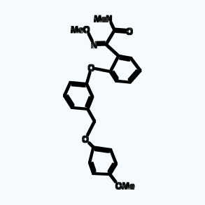 CNC(=O)C(=NOC)c1ccccc1Oc1cccc(COc2ccc(OC)cc2)c1